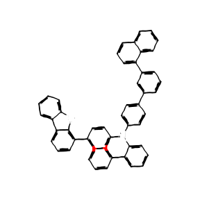 c1ccc(-c2ccccc2N(c2ccc(-c3cccc(-c4cccc5ccccc45)c3)cc2)c2ccc(-c3cccc4c3oc3ccccc34)cc2)cc1